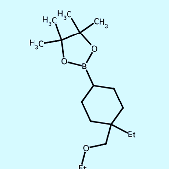 CCOCC1(CC)CCC(B2OC(C)(C)C(C)(C)O2)CC1